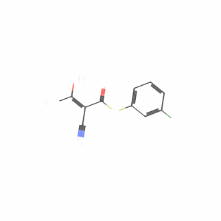 C/C(O)=C(\C#N)C(=O)Sc1cccc(Cl)c1